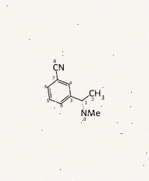 CN[C@@H](C)c1cccc(C#N)c1